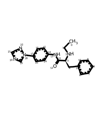 CCN[C@@H](Cc1ccccc1)C(=O)Nc1ccc(-n2cncn2)cc1